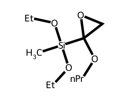 CCCOC1([Si](C)(OCC)OCC)CO1